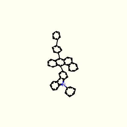 c1ccc(-c2ccc(-c3c4ccccc4c(-c4ccc5c(c4)c4ccccc4n5-c4ccccc4)c4c3ccc3ccccc34)cc2)cc1